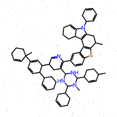 CC1C=CC(C2NC(C3=C(c4ccc5sc6c(c5c4)C4=C(CC6C)N(C5C=CC=CC5)C5=CCCCC54)N=CC(C4C=C(C5(C)C=CCCC5)C=CC4C4C=CCCC4)C3)NC(C3CC=CCC3)N2C)CC1